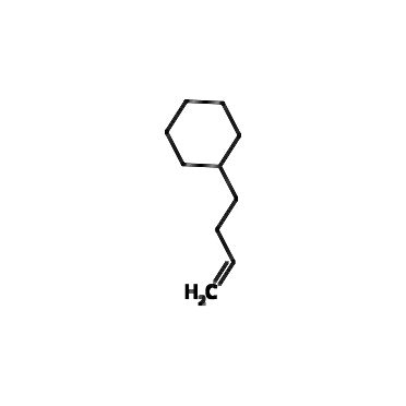 C=CCCC1CCCCC1